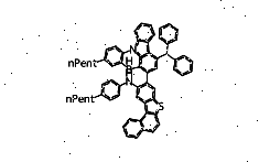 CCCCCc1ccc(Nc2cc3c(cc2-c2cc(C(c4ccccc4)c4ccccc4)c4c5ccccc5n5c4c2Bc2cc(CCCCC)ccc2-5)sc2ccc4ccccc4c23)cc1